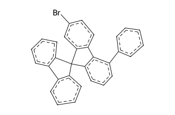 Brc1ccc2c(c1)C1(c3ccccc3-c3ccccc31)c1cccc(-c3ccccc3)c1-2